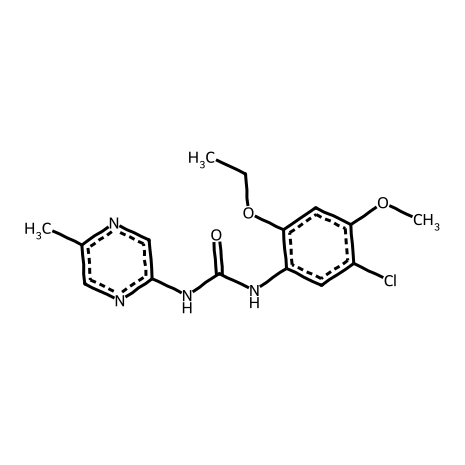 CCOc1cc(OC)c(Cl)cc1NC(=O)Nc1cnc(C)cn1